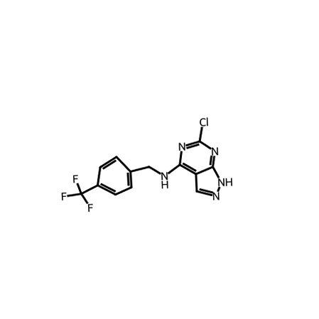 FC(F)(F)c1ccc(CNc2nc(Cl)nc3[nH]ncc23)cc1